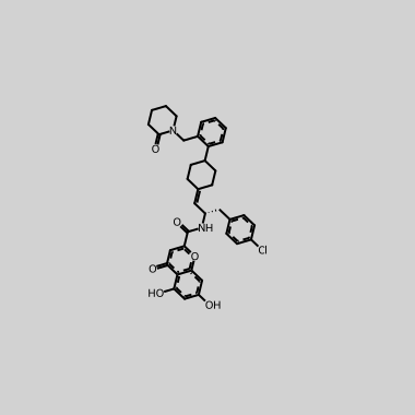 O=C(N[C@H](C=C1CCC(c2ccccc2CN2CCCCC2=O)CC1)Cc1ccc(Cl)cc1)c1cc(=O)c2c(O)cc(O)cc2o1